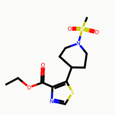 CCOC(=O)c1ncsc1C1CCN(S(C)(=O)=O)CC1